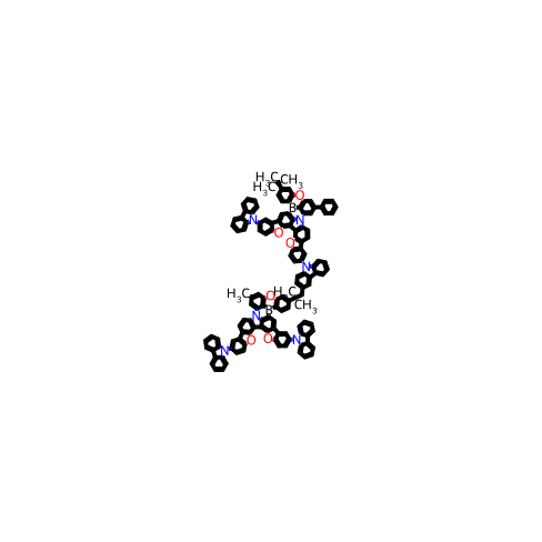 Cc1cc2c3c(c1)-n1c4ccc5c6cc(-n7c8ccccc8c8ccccc87)ccc6oc5c4c4c5oc6ccc(-n7c8ccccc8c8ccccc87)cc6c5cc(c41)B3c1ccc(C(C)(C)Cc3ccc4c(c3)c3ccccc3n4-c3ccc4oc5c(ccc6c5c5c7oc8ccc(-n9c%10ccccc%10c%10ccccc%109)cc8c7cc7c5n6-c5cc(-c6ccccc6)cc6c5B7c5ccc(C(C)(C)C)cc5O6)c4c3)cc1O2